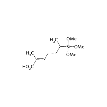 CO[Si](OC)(OC)C(C)CCC=C(C)C(=O)O